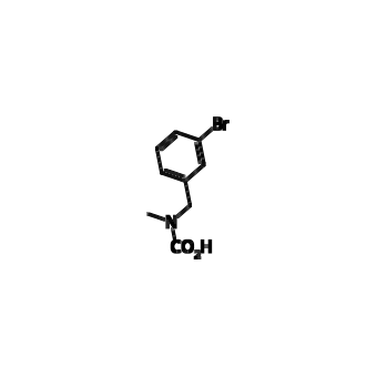 CN(Cc1cccc(Br)c1)C(=O)O